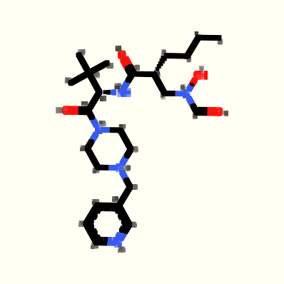 CCCC[C@H](CN(O)C=O)C(=O)N[C@H](C(=O)N1CCN(Cc2cccnc2)CC1)C(C)(C)C